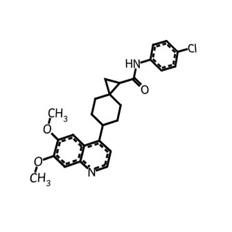 COc1cc2nccc(C3CCC4(CC3)CC4C(=O)Nc3ccc(Cl)cc3)c2cc1OC